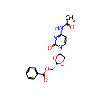 CC(=O)Nc1ccn([C@@H]2CO[C@H](COC(=O)c3ccccc3)O2)c(=O)n1